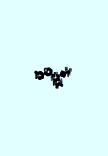 Cc1cc([C@H]2C[C@H](c3nc4nc(C)c(C)nc4c([C@H]4C[C@H](C(F)(F)F)C4)n3)CCO2)ccn1